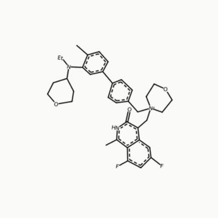 CCN(c1cc(-c2ccc(C[N+]3(Cc4c(=O)[nH]c(C)c5c(F)cc(F)cc45)CCOCC3)cc2)ccc1C)C1CCOCC1